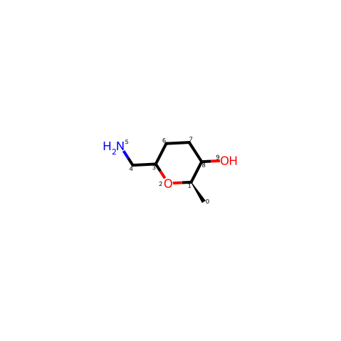 C[C@H]1OC(CN)CCC1O